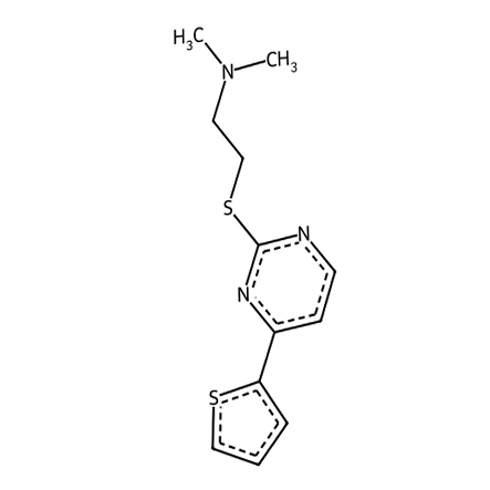 CN(C)CCSc1nccc(-c2cccs2)n1